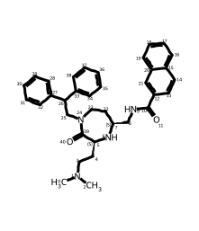 CN(C)CC[C@@H]1N[C@H](CNC(=O)c2ccc3ccccc3c2)CCN(CC(c2ccccc2)c2ccccc2)C1=O